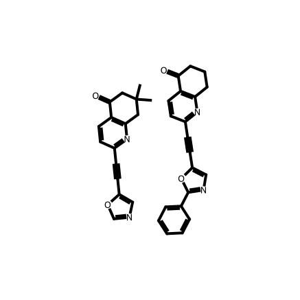 CC1(C)CC(=O)c2ccc(C#Cc3cnco3)nc2C1.O=C1CCCc2nc(C#Cc3cnc(-c4ccccc4)o3)ccc21